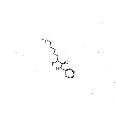 CCCCCCC(F)C(=O)Nc1ccccc1